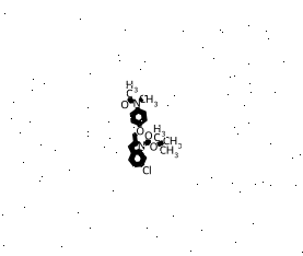 CC(=O)N(C)c1ccc(OCc2cc3ccc(Cl)cc3n2C(=O)OC(C)(C)C)cc1